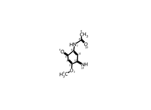 COC1=CC(=O)C(NC(C)=O)=CC1=N